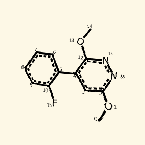 COc1cc(-c2cc[c]cc2F)c(OC)nn1